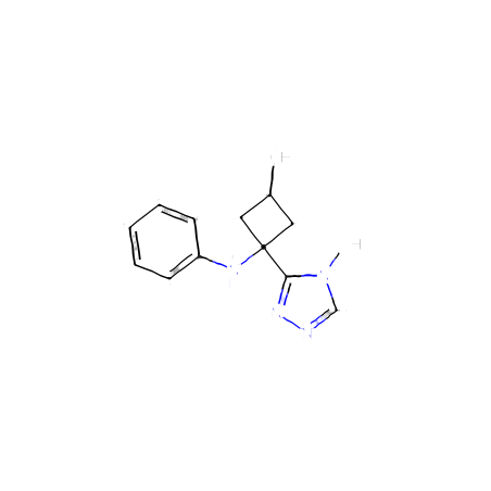 CC1CC(Nc2ccccc2)(c2nncn2C)C1